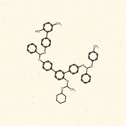 Cc1ccc(OC(Oc2ccc(-c3cc(-c4ccc(OC(Oc5ccc(-c6cc(C)ccc6O)cc5)c5ccccc5)cc4)ccc3OC(C)OC3CCCCC3)cc2)c2ccccc2)cc1